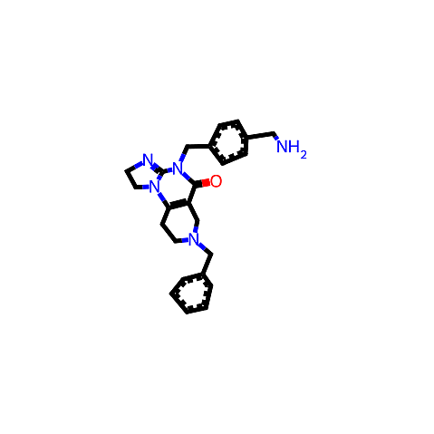 NCc1ccc(CN2C(=O)C3=C(CCN(Cc4ccccc4)C3)N3CCN=C23)cc1